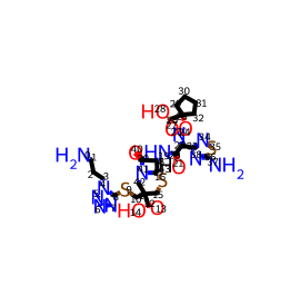 NCCCn1nnnc1SCC1(C(=O)O)CS[C@@H]2C(NC(=O)C(=NOC3(C(=O)O)CCCC3)c3nsc(N)n3)C(=O)N2C1